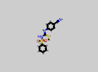 CS/C(=N\c1ccc(C#N)cc1)NS(=O)(=O)c1ccccc1